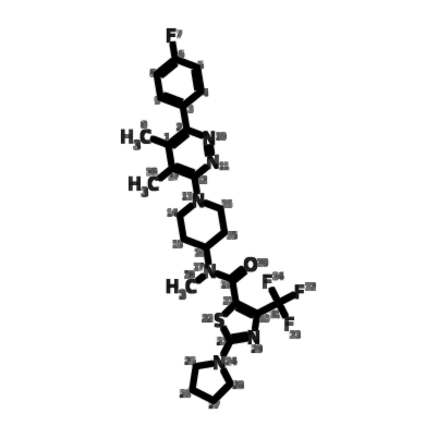 Cc1c(-c2ccc(F)cc2)nnc(N2CCC(N(C)C(=O)c3sc(N4CCCC4)nc3C(F)(F)F)CC2)c1C